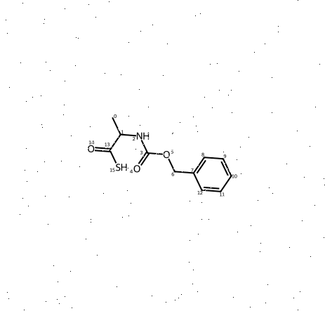 CC(NC(=O)OCc1ccccc1)C(=O)S